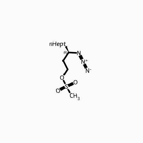 CCCCCCC[C@H](CCOS(C)(=O)=O)N=[N+]=[N-]